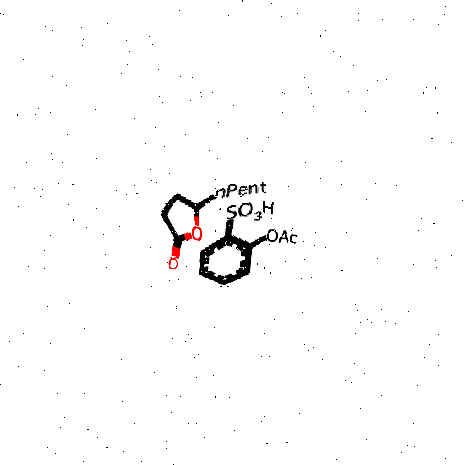 CC(=O)Oc1ccccc1S(=O)(=O)O.CCCCCC1CCC(=O)O1